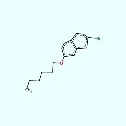 CCCCCCOc1ccc2ccc(Br)cc2c1